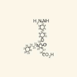 N=C(N)c1ccc(-c2ccc(OCC3C(=O)C(CCC(=O)O)=CN3CCCc3ccccc3)cc2)cc1